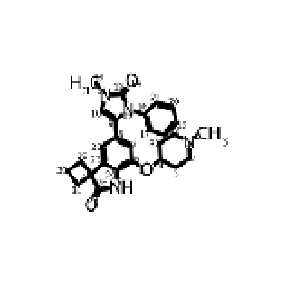 CN1CCC(Oc2cc(-c3cn(C)c(=O)n3-c3ccccc3)cc3c2NC(=O)C32CCC2)CC1